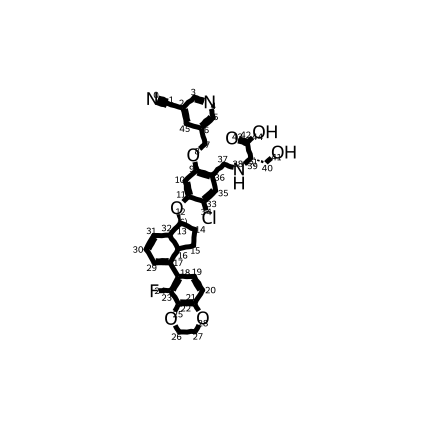 N#Cc1cncc(COc2cc(O[C@H]3CCC4C(c5ccc6c(c5F)OCCO6)=CC=CC43)c(Cl)cc2CN[C@@H](CO)C(=O)O)c1